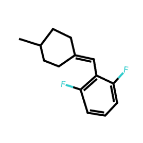 CC1CCC(=Cc2c(F)cccc2F)CC1